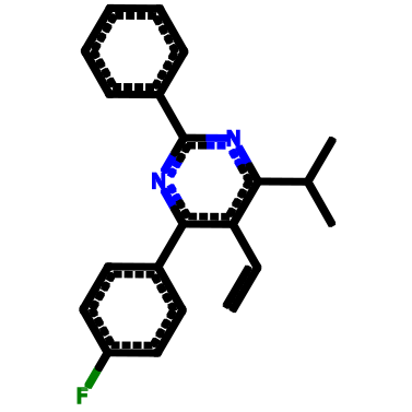 C=Cc1c(-c2ccc(F)cc2)nc(-c2ccccc2)nc1C(C)C